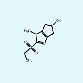 CCS(=O)(=O)c1nc2c(n1C)CN(O)C2